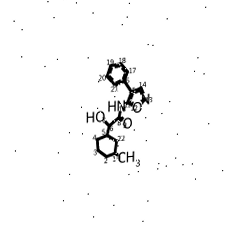 CC1CCCC(C(O)C(=O)Nc2oncc2-c2ccccc2)C1